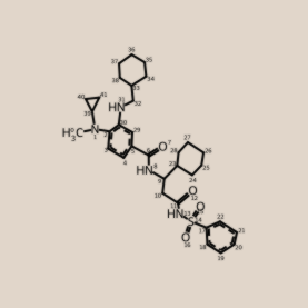 CN(c1ccc(C(=O)NC(CC(=O)NS(=O)(=O)c2ccccc2)C2CCCCC2)cc1NCC1CCCCC1)C1CC1